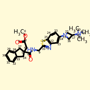 COC(=O)CC1(C(=O)NCc2nc3cc(N4CC([N+](C)(C)C)C4)ccc3s2)Cc2ccccc2C1